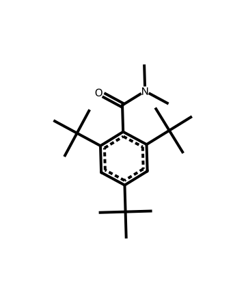 CN(C)C(=O)c1c(C(C)(C)C)cc(C(C)(C)C)cc1C(C)(C)C